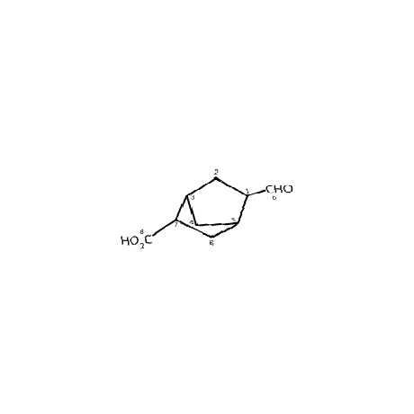 O=CC1CC2CC1CC2C(=O)O